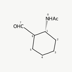 CC(=O)N[C@@H]1CCCCC1C=O